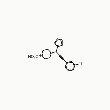 O=C(O)N1CCN(C(C#Cc2cccc(Cl)c2)c2ccsc2)CC1